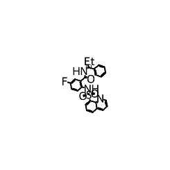 CC[C@H](NC(=O)c1cc(F)ccc1NS(=O)(=O)c1cccc2cccnc12)c1ccccc1